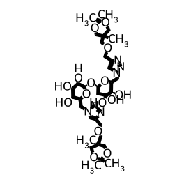 CC1(COCc2cn(CC3O[C@H](O[C@@H]4CC(O)(O)[C@H](O)C(Cn5cc(COCC6(C)COC(C)(C)OC6)nn5)O4)C(O)C(O)[C@@H]3O)nn2)COC(C)(C)OC1